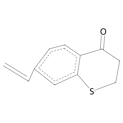 C=Cc1ccc2c(c1)SCCC2=O